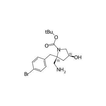 CC(C)(C)OC(=O)N1C[C@@H](O)C[C@]1(CN)Cc1ccc(Br)cc1